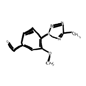 COc1cc(C=O)ccc1-n1nnc(C)n1